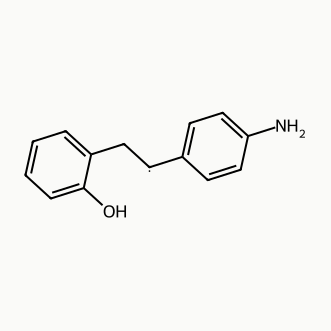 Nc1ccc([CH]Cc2ccccc2O)cc1